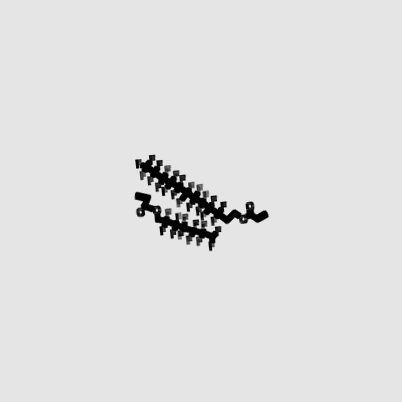 C=CC(=O)OCC(F)(F)C(F)(F)C(F)(F)C(F)(F)C(F)(F)C(F)F.C=CC(=O)OCCC(F)(F)C(F)(F)C(F)(F)C(F)(F)C(F)(F)C(F)(F)C(F)(F)C(F)(F)C(F)(F)C(F)(F)F